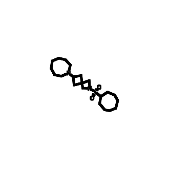 O=S(=O)(C1CCCCCCC1)N1CC2(CC(N3CCCCCCC3)C2)C1